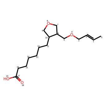 CC=CCOCC1COCC1CCCCCCC(=O)O